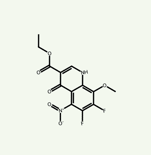 CCOC(=O)c1c[nH]c2c(OC)c(F)c(F)c([N+](=O)[O-])c2c1=O